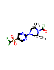 C[C@@H]1CN(c2ncc(S(=O)(=O)C(F)F)cn2)C[C@H](C)N1C(=O)Cl